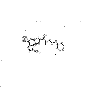 CNc1nc2sc(C(=O)NCCCN3CCOCC3)nc2c2c1ncn2C